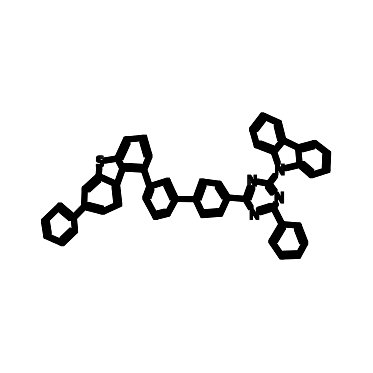 c1ccc(-c2ccc3c(c2)sc2cccc(-c4cccc(-c5ccc(-c6nc(-c7ccccc7)nc(-n7c8ccccc8c8ccccc87)n6)cc5)c4)c23)cc1